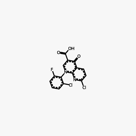 O=C(O)c1cn(-c2c(F)cccc2Cl)c2nc(Cl)ccc2c1=O